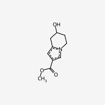 COC(=O)c1cc2n(c1)CCC(O)C2